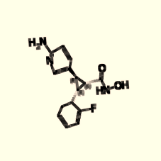 Nc1ccc([C@H]2[C@H](C(=O)NO)[C@@H]2C2CC=CC=C2F)cn1